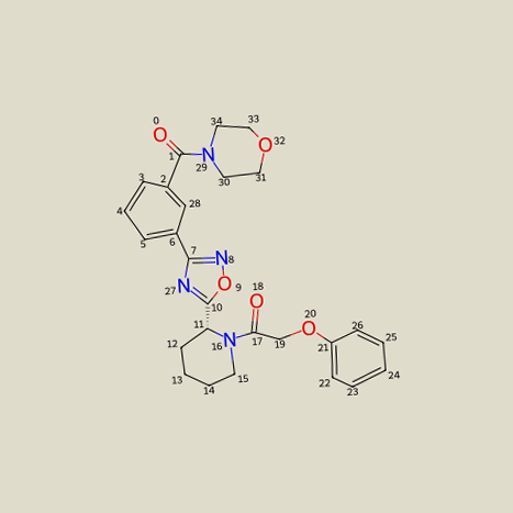 O=C(c1cccc(-c2noc([C@H]3CCCCN3C(=O)COc3ccccc3)n2)c1)N1CCOCC1